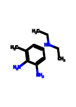 CCNCC.Cc1cccc(N)c1N